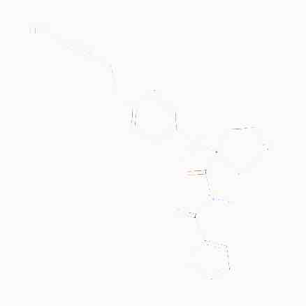 CC#CCOc1ccc(S(=O)(=O)C2(C(=O)N(O)C(=O)c3cccs3)CCNCC2)cc1